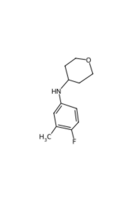 Cc1cc(NC2CCOCC2)ccc1F